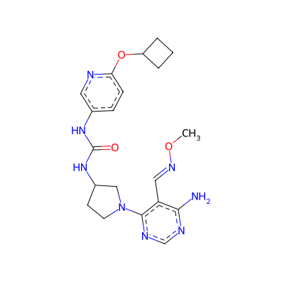 CON=Cc1c(N)ncnc1N1CCC(NC(=O)Nc2ccc(OC3CCC3)nc2)C1